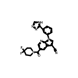 N#Cc1cn(-c2cccc(-c3nnc[nH]3)c2)c2ncc(C(=O)N3CCC(F)(F)CC3)cc12